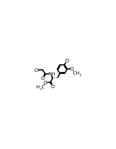 COC(=O)[C@@H](Cc1ccc(Cl)c(OC)c1)NC(=O)CCl